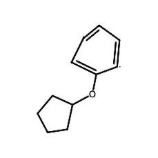 [c]1cc[c]c(OC2CCCC2)c1